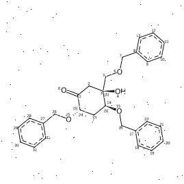 O=C1C[C@](O)(COCc2ccccc2)[C@@H](OCc2ccccc2)C[C@@H]1OCc1ccccc1